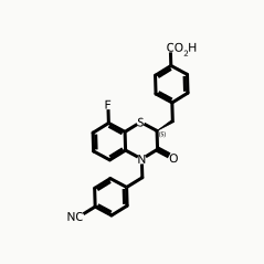 N#Cc1ccc(CN2C(=O)[C@H](Cc3ccc(C(=O)O)cc3)Sc3c(F)cccc32)cc1